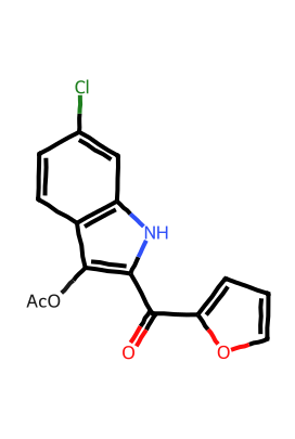 CC(=O)Oc1c(C(=O)c2ccco2)[nH]c2cc(Cl)ccc12